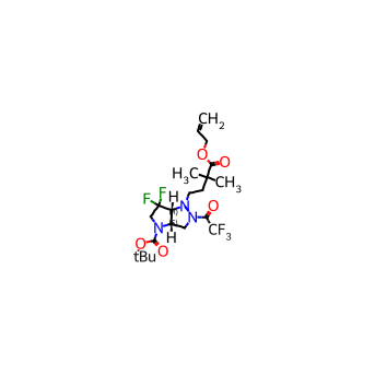 C=CCOC(=O)C(C)(C)CCN1[C@@H]2[C@H](CN1C(=O)C(F)(F)F)N(C(=O)OC(C)(C)C)CC2(F)F